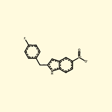 O=[N+]([O-])c1ccc2[nH]c(Cc3ccc(F)cc3)cc2c1